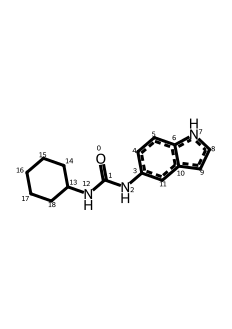 O=C(Nc1ccc2[nH]ccc2c1)NC1CCCCC1